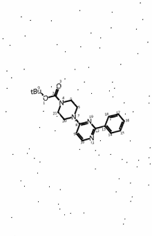 CC(C)(C)OC(=O)N1CCN(c2ccnc(-c3ccccc3)n2)CC1